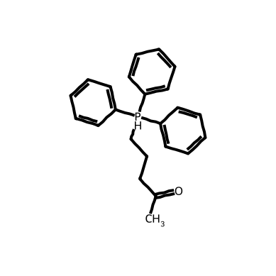 CC(=O)CCC[PH](c1ccccc1)(c1ccccc1)c1ccccc1